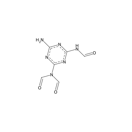 Nc1nc(NC=O)nc(N(C=O)C=O)n1